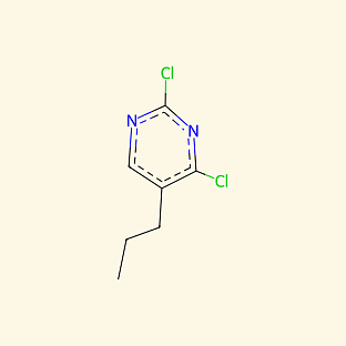 CCCc1cnc(Cl)nc1Cl